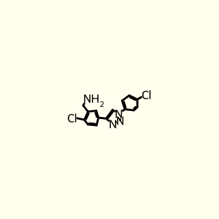 NCc1cc(-c2cn(-c3ccc(Cl)cc3)nn2)ccc1Cl